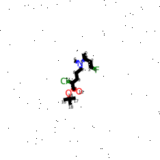 C=C(/C=C/F)N(C)CCCC(Cl)C(=O)OC(C)(C)C